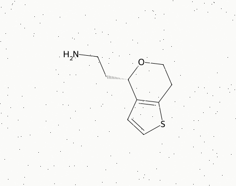 NCC[C@@H]1OCCc2sccc21